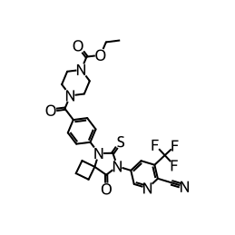 CCOC(=O)N1CCN(C(=O)c2ccc(N3C(=S)N(c4cnc(C#N)c(C(F)(F)F)c4)C(=O)C34CCC4)cc2)CC1